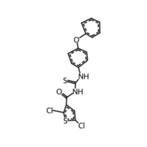 O=C(NC(=S)Nc1ccc(Oc2ccccc2)cc1)c1cc(Cl)sc1Cl